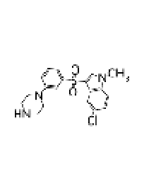 Cn1cc(S(=O)(=O)c2cccc(N3CCNCC3)c2)c2cc(Cl)ccc21